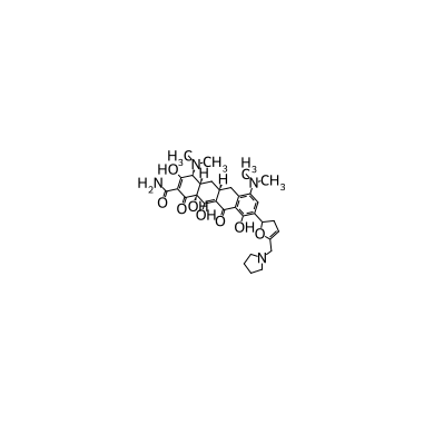 CN(C)c1cc(C2CC=C(CN3CCCC3)O2)c(O)c2c1C[C@H]1C[C@H]3[C@H](N(C)C)C(O)=C(C(N)=O)C(=O)[C@@]3(O)C(O)=C1C2=O